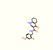 COc1ccc(CNC(=O)c2c[nH]c3c(c2=O)CCCC3)c(F)c1